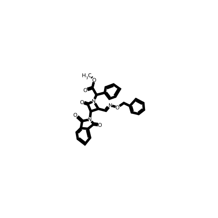 COC(=O)C(c1ccccc1)N1C(=O)C(N2C(=O)c3ccccc3C2=O)C1C=NOCc1ccccc1